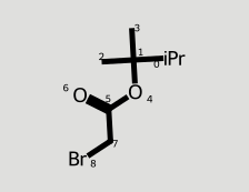 CC(C)C(C)(C)OC(=O)CBr